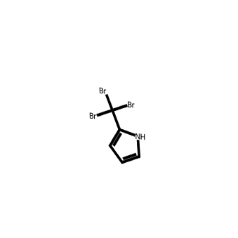 BrC(Br)(Br)c1ccc[nH]1